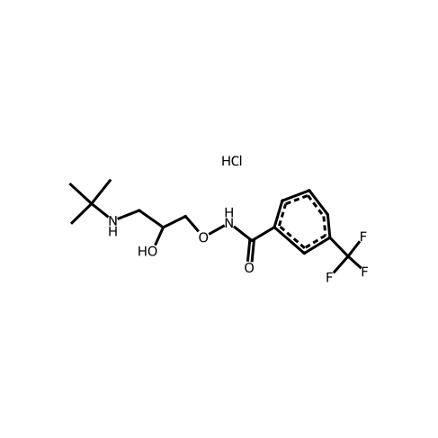 CC(C)(C)NCC(O)CONC(=O)c1cccc(C(F)(F)F)c1.Cl